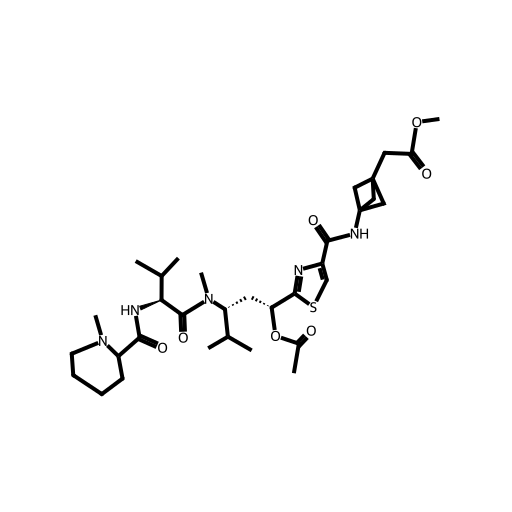 COC(=O)CC12CC(NC(=O)c3csc([C@@H](C[C@H](C(C)C)N(C)C(=O)[C@@H](NC(=O)C4CCCCN4C)C(C)C)OC(C)=O)n3)(C1)C2